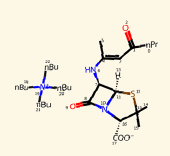 CCCC(=O)C=C(C)N[C@@H]1C(=O)N2[C@@H]1SC(C)(C)[C@@H]2C(=O)[O-].CCCC[N+](CCCC)(CCCC)CCCC